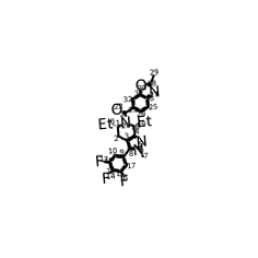 CC[C@H]1Cc2c(nn(C)c2-c2cc(F)c(F)c(F)c2)[C@@H](CC)N1C(=O)c1ccc2nc(C)oc2c1